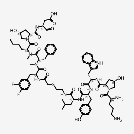 CCCC[C@@H](C(=O)N1C[C@H](O)C[C@@H]1C(=O)N[C@H](C=O)CC(=O)O)N(C)C(=O)[C@H](Cc1ccccc1)N(C)C(=O)[C@H](Cc1ccc(F)c(F)c1)NC(=O)CSCCNC(=O)[C@H](CC(C)C)NC(=O)[C@H](Cc1ccc(O)cc1)NC(=O)[C@H](Cc1c[nH]c2ccccc12)NC(=O)[C@H]1C[C@@H](O)CN1C(=O)[C@@H](N)CCCN